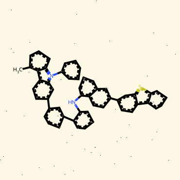 Cc1cccc2c1c1ccc(-c3cccc(-c4ccccc4Nc4cccc5cc(-c6ccc7c(c6)sc6ccccc67)ccc45)c3)cc1n2-c1ccccc1